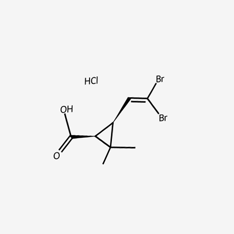 CC1(C)[C@H](C=C(Br)Br)[C@@H]1C(=O)O.Cl